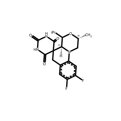 CC(C)C1O[C@H](C)CN2c3cc(F)c(F)cc3CC3(C(=O)NC(=O)NC3=O)[C@@H]12